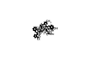 CCC(=O)C1CCCC1C(=O)[C@H](Cc1ccccc1)N(C)C(=O)[C@@H](CC(C)C)NC(=O)[C@]1(C)CSC([C@@H]2C[C@H](C)CN2C(=O)[C@@H](Cc2ccc(O)c(Br)c2)N(C)C(=O)[C@H](C)NC(=O)C(C)(C)C)=N1